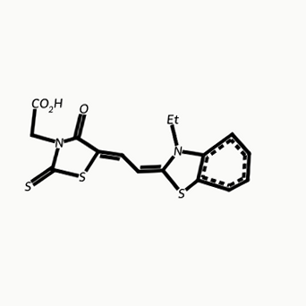 CCN1/C(=C\C=C2/SC(=S)N(CC(=O)O)C2=O)Sc2ccccc21